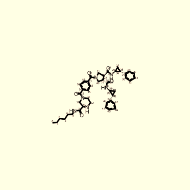 CCCCCCNC(=O)C1CN(C(=O)c2ccc(C(=O)N3C[C@@H](C(=O)N[C@H]4C[C@@H]4c4ccccc4)[C@H](C(=O)N[C@H]4C[C@@H]4c4ccccc4)C3)cc2)CCN1